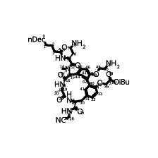 CCCCCCCCCCCCCC(=O)N[C@@H](CCN)C(=O)N(C)[C@@H]1C(=O)N[C@@H](C)C(=O)N[C@H](C(=O)NCC#N)Cc2ccc(OCC(=O)OCC(C)C)c(c2)-c2cc1ccc2OCCN